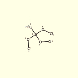 CCCC[Si](OCl)(OCl)OCl